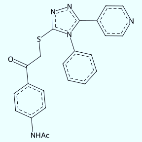 CC(=O)Nc1ccc(C(=O)CSc2nnc(-c3ccncc3)n2-c2ccccc2)cc1